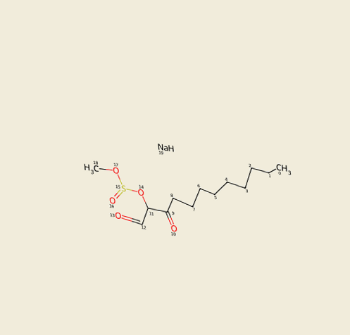 CCCCCCCCCC(=O)C(C=O)OS(=O)OC.[NaH]